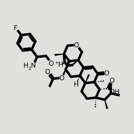 CC(=O)O[C@@H]1C[C@]23COC[C@](C)([C@@H]2CC[C@H]2C3=CC(=O)[C@@]3(C)[C@H](C(=O)O)[C@@](C)([C@H](C)C(C)C)CC[C@]23C)[C@H]1OCC(N)c1ccc(F)cc1